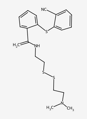 C=C(NCCSSCCN(C)C)c1ccccc1Sc1ccccc1C#N